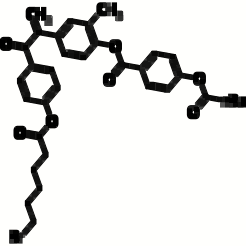 C=C(C(=O)c1ccc(OC(=O)CCCCCBr)cc1)c1ccc(OC(=O)c2ccc(OC(=O)CCCC)cc2)c(C)c1